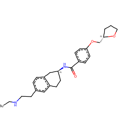 CC(C)(C)CNCCc1ccc2c(c1)CC[C@H](NC(=O)c1ccc(OC[C@@H]3CCCO3)cc1)C2